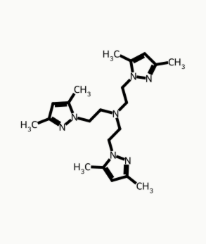 Cc1cc(C)n(CCN(CCn2nc(C)cc2C)CCn2nc(C)cc2C)n1